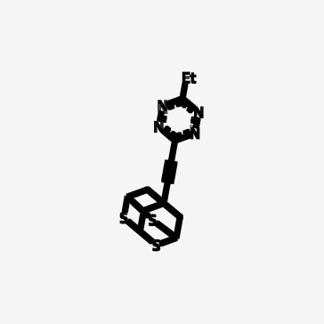 CCc1nnc(C#CC23CC4SC(C2)SC(C3)S4)nn1